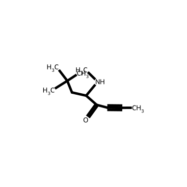 CC#CC(=O)C(CC(C)(C)C)NC